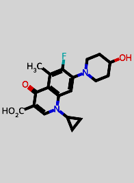 Cc1c(F)c(N2CCC(O)CC2)cc2c1c(=O)c(C(=O)O)cn2C1CC1